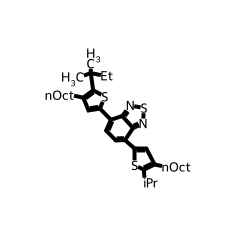 CCCCCCCCc1cc(-c2ccc(-c3cc(CCCCCCCC)c(C(C)(C)CC)s3)c3nsnc23)sc1C(C)C